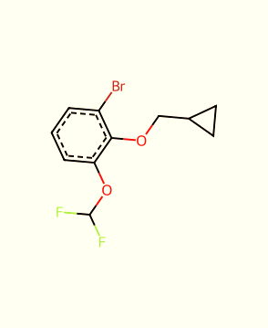 FC(F)Oc1cccc(Br)c1OCC1CC1